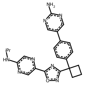 CC(C)Nc1cnc(-c2nc(C3(c4ccc(-c5cnc(N)nc5)cc4)CCC3)no2)cn1